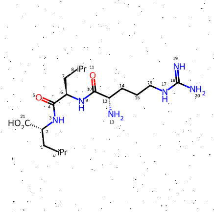 CC(C)C[C@@H](NC(=O)[C@@H](CC(C)C)NC(=O)[C@@H](N)CCCNC(=N)N)C(=O)O